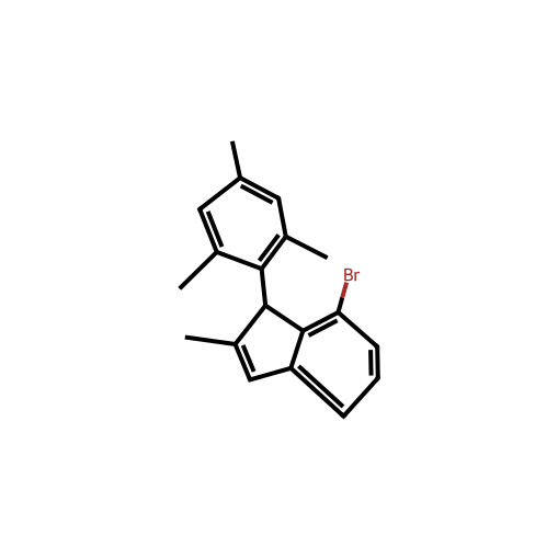 CC1=Cc2cccc(Br)c2C1c1c(C)cc(C)cc1C